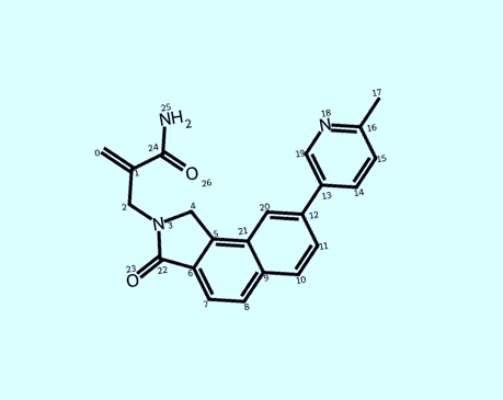 C=C(CN1Cc2c(ccc3ccc(-c4ccc(C)nc4)cc23)C1=O)C(N)=O